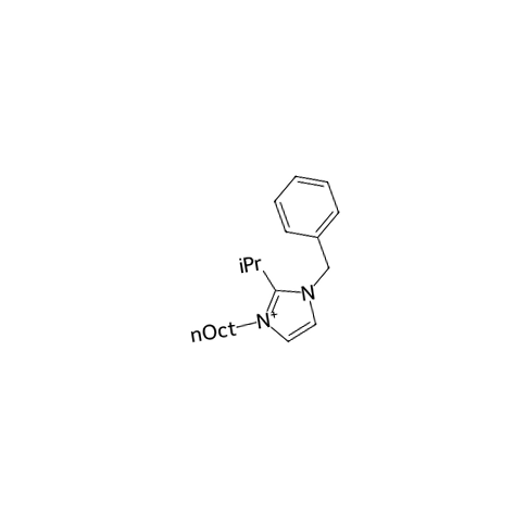 CCCCCCCC[n+]1ccn(Cc2ccccc2)c1C(C)C